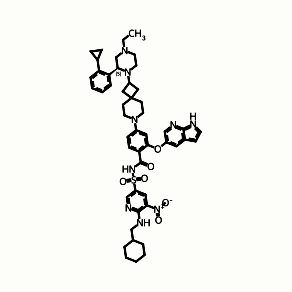 CCN1CCN(C2CC3(CCN(c4ccc(C(=O)NS(=O)(=O)c5cnc(NCC6CCCCC6)c([N+](=O)[O-])c5)c(Oc5cnc6[nH]ccc6c5)c4)CC3)C2)[C@@H](c2ccccc2C2CC2)C1